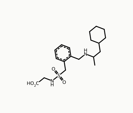 CC(CC1CCCCC1)NCc1ccccc1CS(=O)(=O)NCC(=O)O